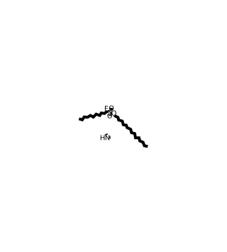 CCCCCCCCCCCCCCCCOS(=O)(=O)C(F)CCCCCCCCCC.CNC